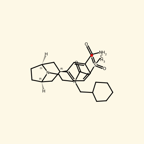 CS(=O)(=O)CC(=O)N(CCN1[C@@H]2CC[C@H]1C[C@@H](c1cccc(C(N)=O)c1)C2)CC1CCCCC1